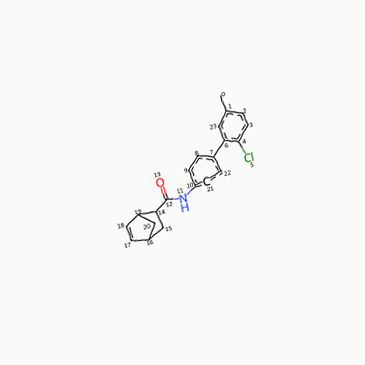 Cc1ccc(Cl)c(-c2ccc(NC(=O)C3CC4C=CC3C4)cc2)c1